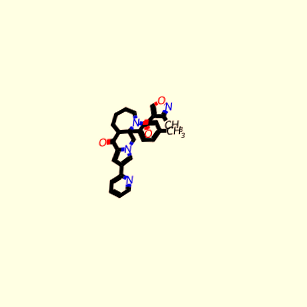 Cc1ccc(C23Cn4cc(-c5ccccn5)cc4C(=O)C2CCCCN3C(=O)c2conc2C)cc1